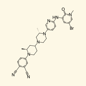 C[C@H]1CC(N2CCN(c3ccc(Nc4cc(Br)cn(C)c4=O)nc3)[C@@H](C)C2)CCN1c1ccc(C#N)c(C#N)c1